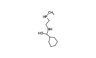 CPCCNC(O)C1CCCCC1